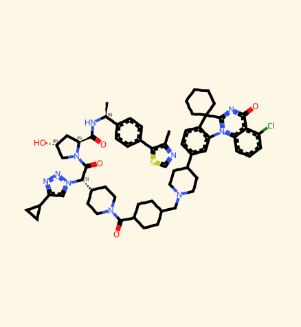 Cc1ncsc1-c1ccc([C@H](C)NC(=O)[C@@H]2C[C@@H](O)CN2C(=O)[C@H](C2CCN(C(=O)C3CCC(CN4CCC(c5ccc6c(c5)-n5c(nc(=O)c7c(Cl)cccc75)C65CCCCC5)CC4)CC3)CC2)n2cc(C3CC3)nn2)cc1